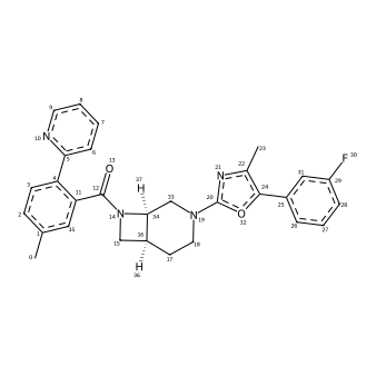 Cc1ccc(-c2ccccn2)c(C(=O)N2C[C@@H]3CCN(c4nc(C)c(-c5cccc(F)c5)o4)C[C@@H]32)c1